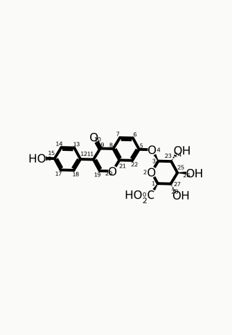 O=C(O)[C@H]1O[C@@H](Oc2ccc3c(=O)c(-c4ccc(O)cc4)coc3c2)[C@H](O)[C@@H](O)[C@@H]1O